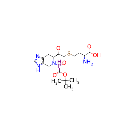 CC(C)(C)OC(=O)[PH](=O)N1Cc2[nH]cnc2C[C@H]1C(=O)CSCC[C@H](N)C(=O)O